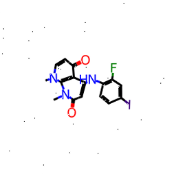 Cn1ccc(=O)c2c(Nc3ccc(I)cc3F)cc(=O)n(C)c21